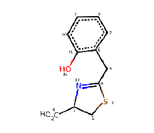 O=C(O)C1CSC(Cc2ccccc2O)=N1